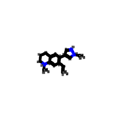 C=Cc1cc2c(cc1-c1cnn(C)c1)CCCN2C